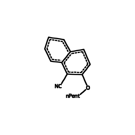 CCCCCOc1ccc2ccccc2c1C#N